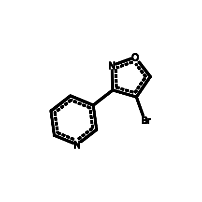 Brc1conc1-c1cccnc1